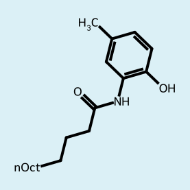 CCCCCCCCCCCC(=O)Nc1cc(C)ccc1O